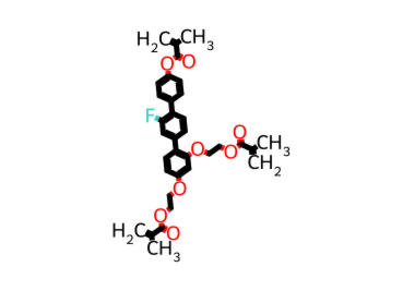 C=C(C)C(=O)OCCOc1ccc(-c2ccc(-c3ccc(OC(=O)C(=C)C)cc3)c(F)c2)c(OCCOC(=O)C(=C)C)c1